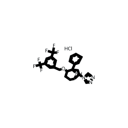 Cl.FC(F)(F)c1cc(COC2CCC3NC2(c2ccccc2)CC3n2cnnc2)cc(C(F)(F)F)c1